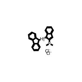 CP(C)C1=Cc2ccccc2[CH]1[Hf+2][CH]1c2ccccc2-c2ccccc21.[Cl-].[Cl-]